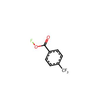 O=C(OF)c1ccc(C(F)(F)F)cc1